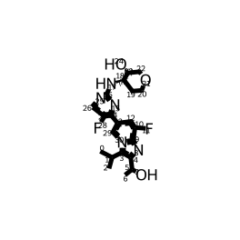 CC(C)c1c(C(C)O)nc2c(F)cc(-c3nc(N[C@@H]4CCOC[C@H]4O)ncc3F)cn12